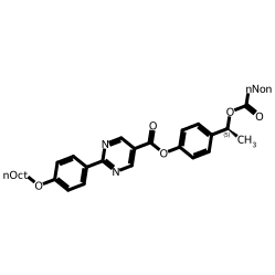 CCCCCCCCCC(=O)O[C@@H](C)c1ccc(OC(=O)c2cnc(-c3ccc(OCCCCCCCC)cc3)nc2)cc1